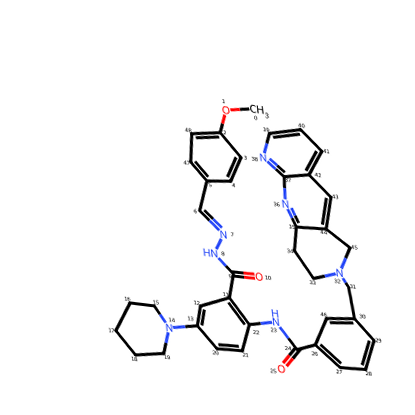 COc1ccc(C=NNC(=O)c2cc(N3CCCCC3)ccc2NC(=O)c2cccc(CN3CCc4nc5ncccc5cc4C3)c2)cc1